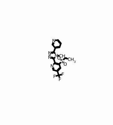 CCS(=O)(=O)c1cc(C(F)(F)F)cnc1-c1nnc(-c2cccnc2)n1C